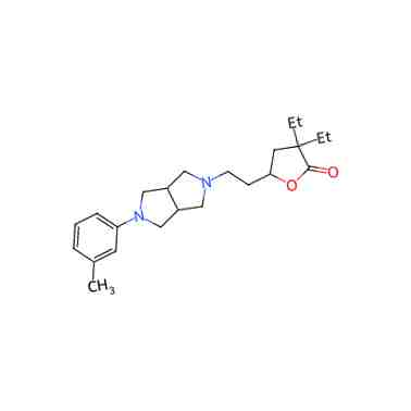 CCC1(CC)CC(CCN2CC3CN(c4cccc(C)c4)CC3C2)OC1=O